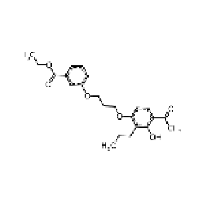 CCCc1c(OCCCOc2cccc(C(=O)OCC)c2)ccc(C(C)=O)c1O